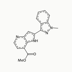 COC(=O)c1ccnc2cc(-c3nn(C)c4ccccc34)[nH]c12